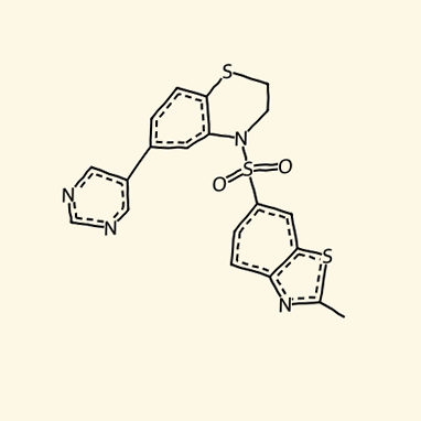 Cc1nc2ccc(S(=O)(=O)N3CCSc4ccc(-c5cncnc5)cc43)cc2s1